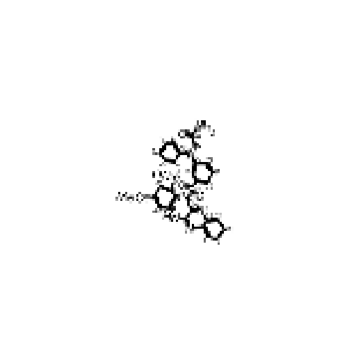 COc1cc(Nc2nc3ccccc3nc2NS(=O)(=O)c2cccc(N(CC(N)=O)c3ccccc3)c2)cc(OC)c1